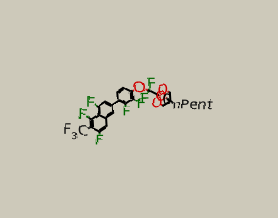 CCCCCC12COC(C(F)(F)Oc3ccc(-c4cc(F)c5c(F)c(C(F)(F)F)c(F)cc5c4)c(F)c3F)(OC1)OC2